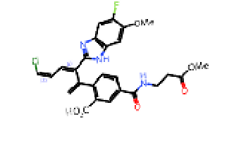 C=C(/C(=C\C=C/Cl)c1nc2cc(F)c(OC)cc2[nH]1)c1ccc(C(=O)NCCC(=O)OC)cc1C(=O)O